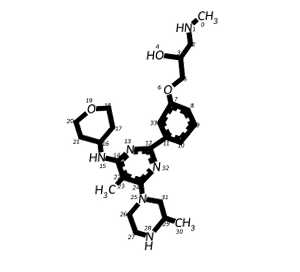 CNCC(O)COc1cccc(-c2nc(NC3CCOCC3)c(C)c(N3CCNC(C)C3)n2)c1